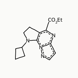 CCOC(=O)c1nc2ccnn2c2c1CCN2C1CCC1